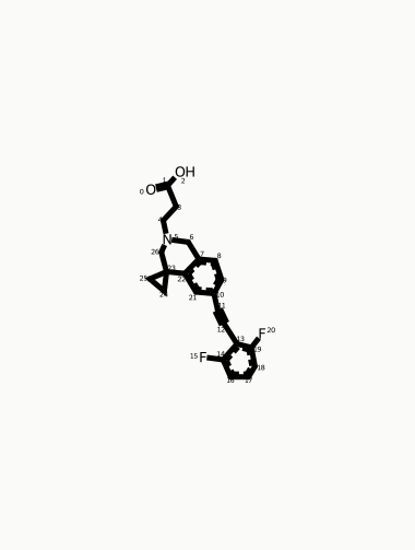 O=C(O)CCN1Cc2ccc(C#Cc3c(F)cccc3F)cc2C2(CC2)C1